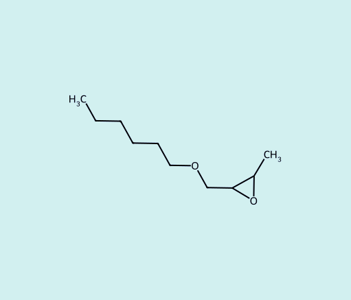 CCCCCCOCC1OC1C